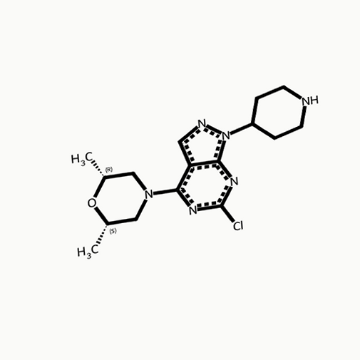 C[C@@H]1CN(c2nc(Cl)nc3c2cnn3C2CCNCC2)C[C@H](C)O1